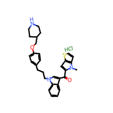 Cl.Cn1c(C(=O)c2cn(CCCc3ccc(OCC4CCNCC4)cc3)c3ccccc23)cc2sccc21